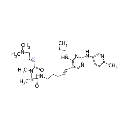 CCCNc1nc(Nc2ccc(C)nc2)ncc1C#CCCCNC(=O)[C@H](C)N(C)C(=O)/C=C/CN(C)C